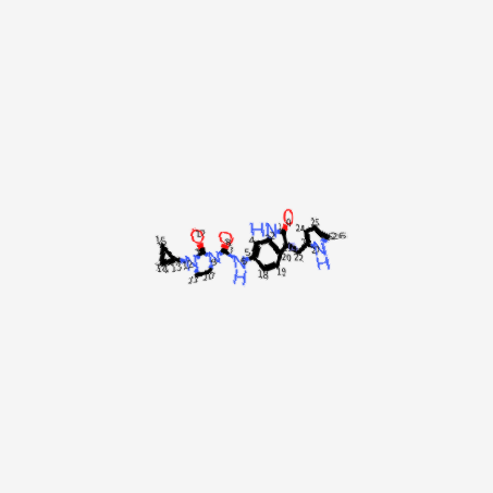 O=C1Nc2cc(NC(=O)N3CCN(C4CC4)C3=O)ccc2/C1=C/c1ccc[nH]1